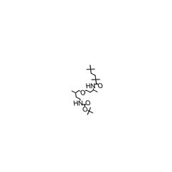 CC(CCNC(=O)OC(C)(C)C)COCCC(C)NC(=O)C(C)(C)CCC(C)(C)C